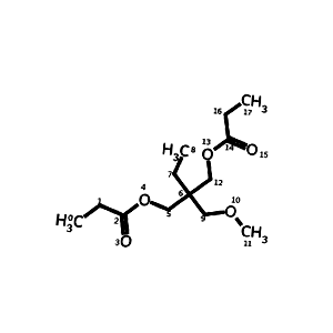 CCC(=O)OCC(CC)(COC)COC(=O)CC